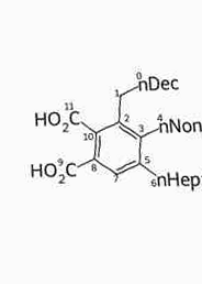 CCCCCCCCCCCc1c(CCCCCCCCC)c(CCCCCCC)cc(C(=O)O)c1C(=O)O